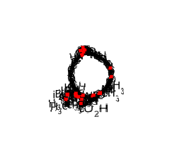 CC[C@H](C)[C@H](NC(=O)C(C)(C)N(C)C)C(=O)N(C)[C@H](C[C@@H](OC(C)=O)c1nc(C(=O)N[C@@H](Cc2ccc3c(c2)NC(=O)C(C)NC(=O)C(C)NC(=O)CCOCCOCCOCCNC(=O)C(N2C(=O)C=CC2=O)C(N2C(=O)C=CC2=O)C(=O)NCCOCCOCCOCCC(=O)NC(C)C(=O)NC(C)C(=O)O3)CC(C)C(=O)O)cs1)C(C)C